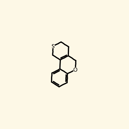 c1ccc2c(c1)OCC1=C2CSCC1